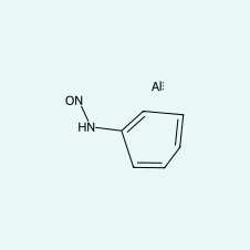 O=NNc1ccccc1.[Al]